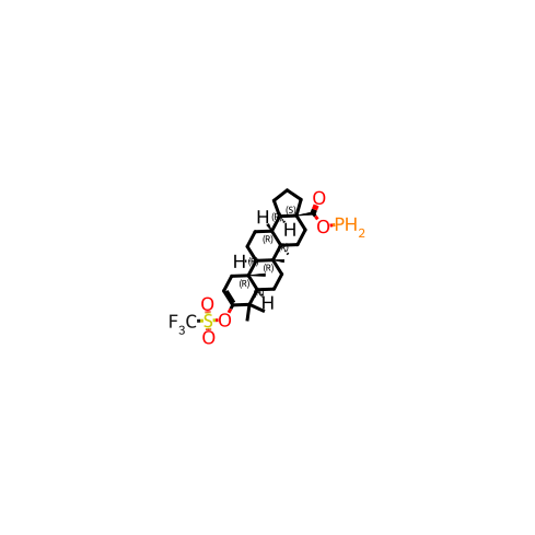 CC1(C)C(OS(=O)(=O)C(F)(F)F)=CC[C@]2(C)[C@H]3CC[C@@H]4[C@H]5CCC[C@]5(C(=O)OP)CC[C@@]4(C)[C@]3(C)CC[C@@H]12